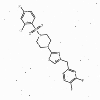 O=S(=O)(c1ccc(Br)cc1Cl)N1CCN(c2nc(Cc3ccc(F)c(F)c3)cs2)CC1